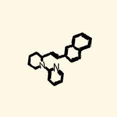 C(=CC1CCCCN1c1ccccn1)c1ccc2ccccc2c1